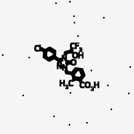 Cc1c(Cn2nc(-c3ccc(Cl)cc3)n(CC(O)C(F)(F)F)c2=O)cccc1C(=O)O